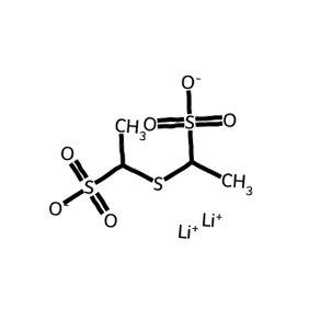 CC(SC(C)S(=O)(=O)[O-])S(=O)(=O)[O-].[Li+].[Li+]